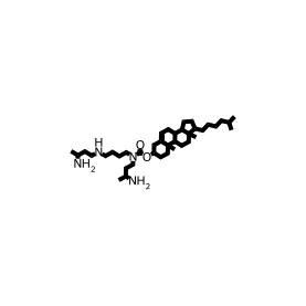 CC(C)CCCCC1CCC2C3CC=C4CC(OC(=O)N(CCCCNCCC(C)N)CCC(C)N)CCC4(C)C3CCC12C